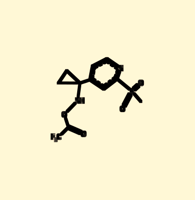 CS(=O)(=O)c1cc(C2(NOC(=O)C(F)(F)F)CC2)ccn1